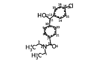 CCN(CC)C(=O)c1ccc(C(O)c2ccc(Cl)cc2)cc1